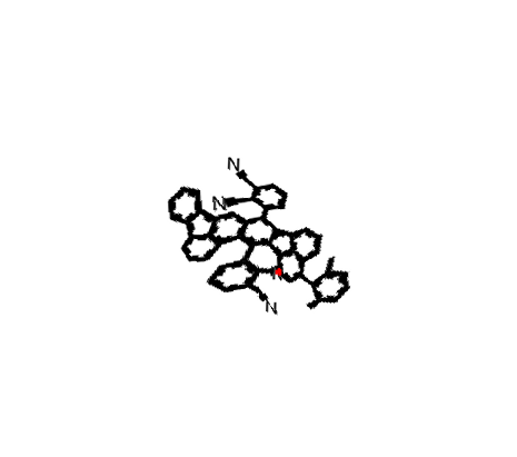 Cc1cccc(C)c1-c1ccc2c3c(-c4cccc(C#N)c4C#N)c4c(cc5c6ccccc6c6cccc4c65)c(-c4cccc(C#N)c4C#N)c3c3cccc1c32